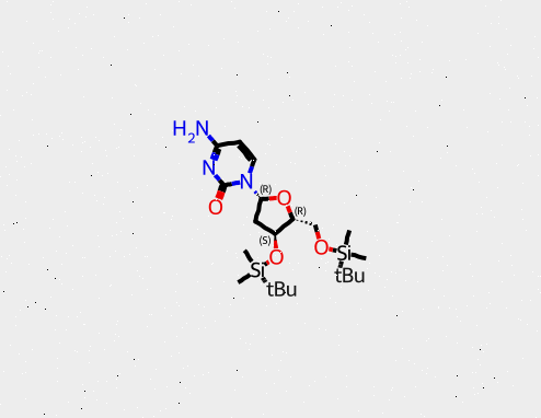 CC(C)(C)[Si](C)(C)OC[C@H]1O[C@@H](n2ccc(N)nc2=O)C[C@@H]1O[Si](C)(C)C(C)(C)C